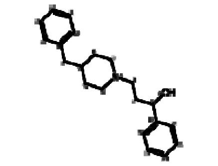 OC(CCN1CCC(Cc2ccccc2)CC1)c1ccccc1